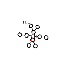 Cc1ccc(-c2cc(N(c3ccc(-c4ccccc4)cc3)c3ccc(-c4ccccc4)cc3)c(N(c3ccc(-c4ccccc4)cc3)c3ccc(-c4ccccc4)cc3)cc2-c2ccccc2)cc1